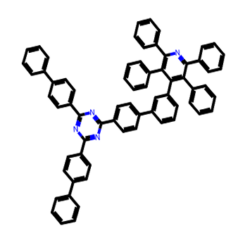 c1ccc(-c2ccc(-c3nc(-c4ccc(-c5ccccc5)cc4)nc(-c4ccc(-c5cccc(-c6c(-c7ccccc7)c(-c7ccccc7)nc(-c7ccccc7)c6-c6ccccc6)c5)cc4)n3)cc2)cc1